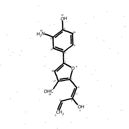 C=C/C(O)=C\c1oc(-c2ccc(O)c(N)c2)cc1C=O